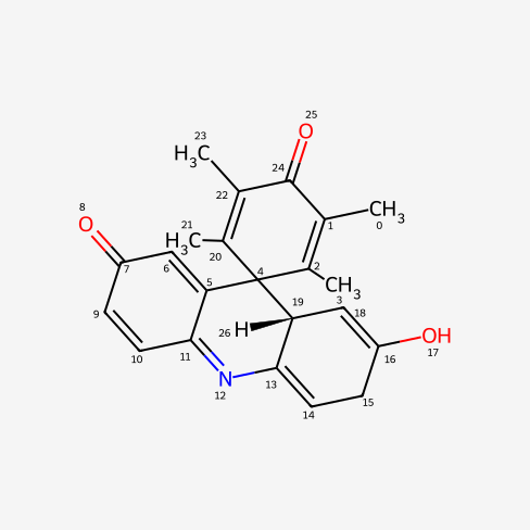 CC1=C(C)C2(C3=CC(=O)C=CC3=NC3=CCC(O)=C[C@H]32)C(C)=C(C)C1=O